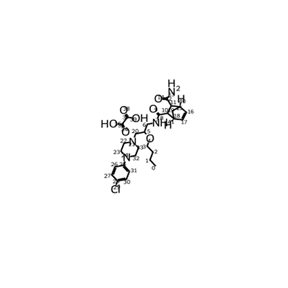 CCCCOC(CNC(=O)C1C(C(N)=O)[C@@H]2C=C[C@H]1C2)CN1CCN(c2ccc(Cl)cc2)CC1.O=C(O)C(=O)O